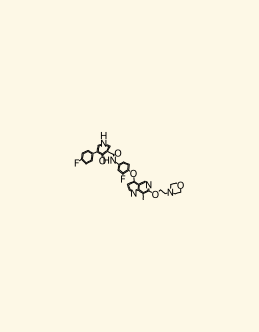 Cc1c(OCCN2CCOCC2)ncc2c(Oc3ccc(NC(=O)c4c[nH]cc(-c5ccc(F)cc5)c4=O)cc3F)ccnc12